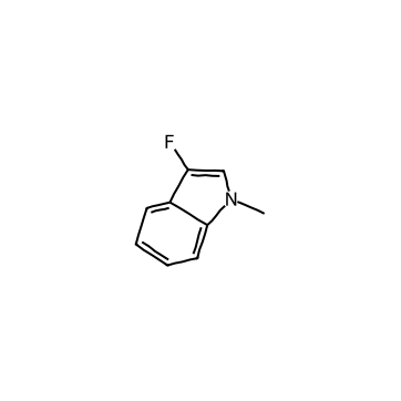 Cn1cc(F)c2ccccc21